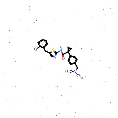 CN(C)Cc1ccc(C2(C(=O)Nc3ncc(Cc4ccccc4Cl)s3)CC2)cc1